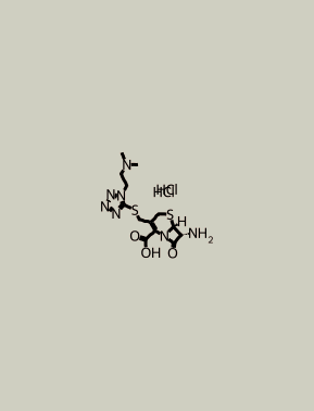 CN(C)CCn1nnnc1SCC1=C(C(=O)O)N2C(=O)[C@@H](N)[C@H]2SC1.Cl.Cl